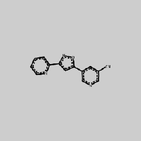 N#Cc1cncc(-c2cc(-c3ccccn3)no2)c1